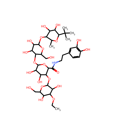 CCOC1C(O)C(CO)OC(OC2C(C(=O)NCCc3ccc(O)c(O)c3)OC(OC3C(CO)OC(OC4C(C)OC(C(C)(C)C)C(O)C4O)C(O)C3O)C(O)C2O)C1O